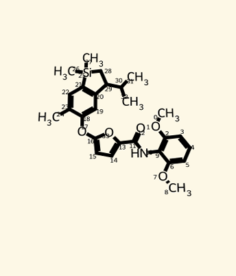 COc1cccc(OC)c1NC(=O)c1ccc(Oc2cc3c(cc2C)[Si](C)(C)CC3C(C)C)o1